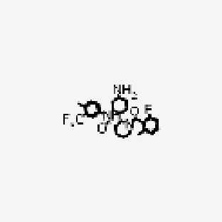 Cc1ccc(NC(=O)[C@H]2CCCN(C(=O)c3c(C)cccc3F)[C@H]2C2CCC(N)CC2)cc1C(F)(F)F